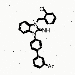 CC(=O)c1cccc(-c2ccc(-n3c(=N)n(Cc4ccccc4Cl)c4ccccc43)cc2)c1